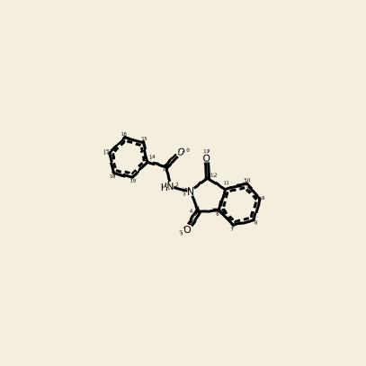 O=C(NN1C(=O)c2ccccc2C1=O)c1ccccc1